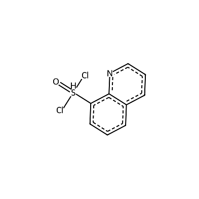 O=[SH](Cl)(Cl)c1cccc2cccnc12